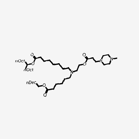 CCCCCCCCCCCOC(=O)CCCCCN(CCCCCCCC(=O)OC(CCCCCCCC)CCCCCCCC)CCOC(=O)CCN1CCN(C)CC1